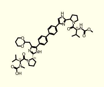 COC(=O)N[C@H](C(=O)N1CCCC1c1nc(-c2ccc(-c3ccc(-c4[nH]c([C@@H]5CCCN5C(=O)[C@H](C(C)C)N(C)C(=O)O)nc4CC4OCCCO4)cc3)cc2)c[nH]1)C(C)C